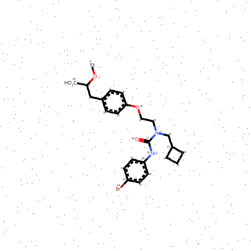 CCOC(Cc1ccc(OCCN(CC2CCC2)C(=O)Nc2ccc(Br)cc2)cc1)C(=O)O